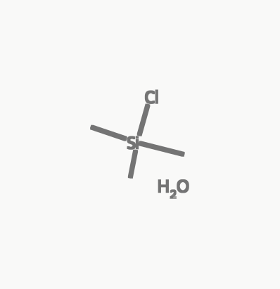 C[Si](C)(C)Cl.O